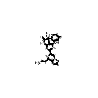 CCCc1nc(-c2nc(O)c3c(n2)NC(=O)C3(C)c2ccc(F)cn2)cn2ncnc12